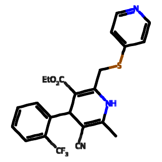 CCOC(=O)C1=C(CSc2ccncc2)NC(C)=C(C#N)C1c1ccccc1C(F)(F)F